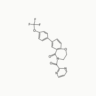 O=C(c1ncccn1)N1CCOc2ccc(-c3ccc(OC(F)(F)F)cc3)cc2C1=O